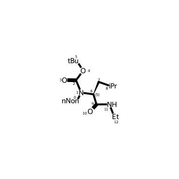 CCCCCCCCCN(C(=O)OC(C)(C)C)[C@@H](CC(C)C)C(=O)NCC